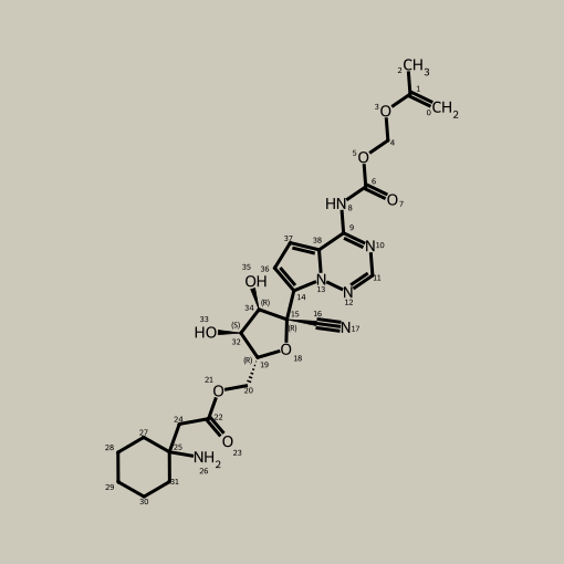 C=C(C)OCOC(=O)Nc1ncnn2c([C@]3(C#N)O[C@H](COC(=O)CC4(N)CCCCC4)[C@@H](O)[C@H]3O)ccc12